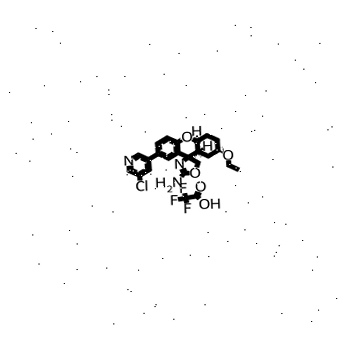 CCO[C@H]1CC[C@@H]2Oc3ccc(-c4cncc(Cl)c4)cc3C3(COC(N)=N3)[C@H]2C1.O=C(O)C(F)(F)F